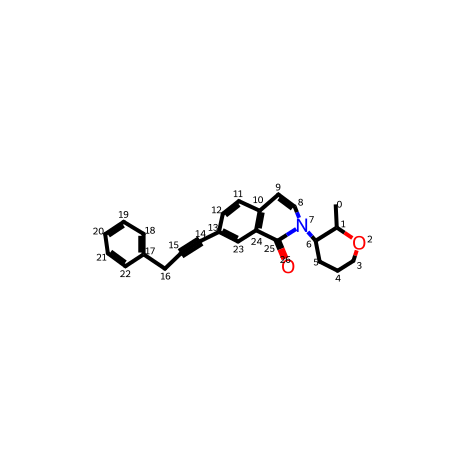 CC1OCCCC1n1ccc2ccc(C#CCc3ccccc3)cc2c1=O